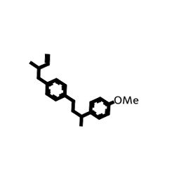 C=CC(C)Cc1ccc(CCC(C)c2ccc(OC)cc2)cc1